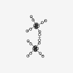 CC(C)(c1ccc(OCCC[Si]2(C)O[Si](C)(CCCOCC3CO3)O[Si](C)(CCCOCC3CO3)O[Si](C)(CCCOCC3CO3)O2)cc1)c1ccc(OCCC[Si]2(C)O[Si](C)(CCCOCC3CO3)O[Si](C)(CCCOCC3CO3)O[Si](C)(CCCOCC3CO3)O2)cc1